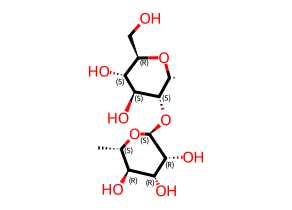 C[C@@H]1O[C@@H](O[C@H]2[CH]O[C@H](CO)[C@@H](O)[C@@H]2O)[C@H](O)[C@H](O)[C@H]1O